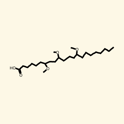 CCCCCCCCC(CCCC(CCC(CCCCCC(=O)O)OC)OC)OC